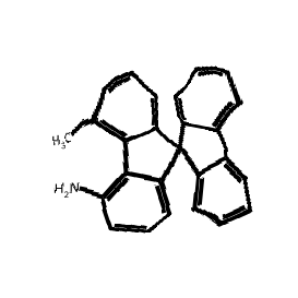 Cc1cccc2c1-c1c(N)cccc1C21c2ccccc2-c2ccccc21